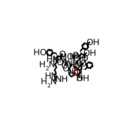 N=C(N)NCCC[C@H](N)C(=O)N[C@@H](Cc1ccc(O)cc1)C(=O)NCC(=O)N[C@@H](Cc1ccc(O)cc1)C(=O)N1CCC[C@H]1C(=O)N[C@@H](Cc1ccccc1)C(=O)N[C@@H](CC(=O)O)C(=O)N[C@@H](Cc1ccc(O)cc1)C(=O)O